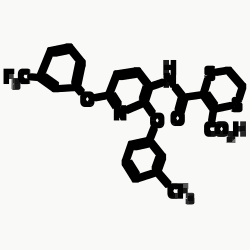 O=C(O)C1=C(C(=O)Nc2ccc(Oc3cccc(C(F)(F)F)c3)nc2Oc2cccc(C(F)(F)F)c2)SCCS1